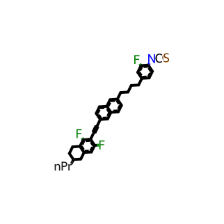 CCCC1CCc2c(cc(F)c(C#Cc3ccc4cc(CCCCc5ccc(N=C=S)c(F)c5)ccc4c3)c2F)C1